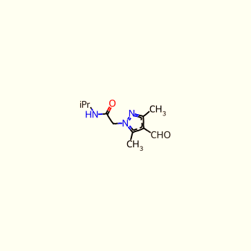 Cc1nn(CC(=O)NC(C)C)c(C)c1C=O